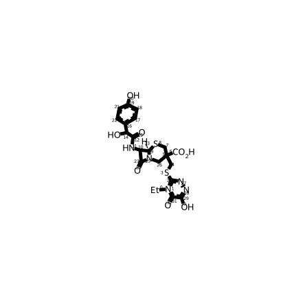 CCn1c(SCC2(C(=O)O)CS[C@@H]3C(NC(=O)C(O)c4ccc(O)cc4)C(=O)N3C2)nnc(O)c1=O